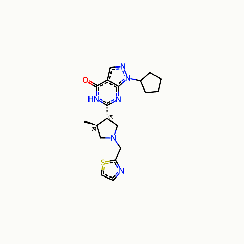 C[C@@H]1CN(Cc2nccs2)C[C@H]1c1nc2c(cnn2C2CCCC2)c(=O)[nH]1